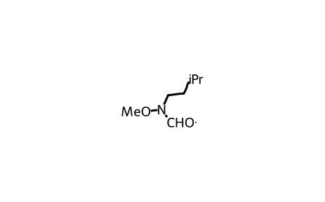 CON([C]=O)CCC(C)C